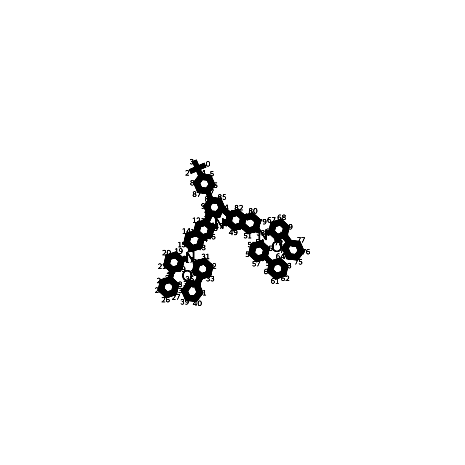 CC(C)(C)c1ccc(-c2cc3c4cc5ccc(N(c6cccc(-c7ccccc7)c6)c6cccc7c6oc6ccccc67)cc5cc4n4c5cc6cc(N(c7cccc(-c8ccccc8)c7)c7cccc8c7oc7ccccc78)ccc6cc5c(c2)c34)cc1